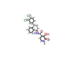 Cn1ccc(C(=O)N[C@H]2CCC(c3ccc(Cl)c(Cl)c3)c3ccccc32)c(O)c1=O